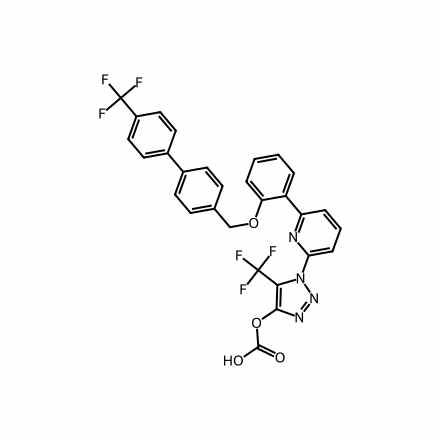 O=C(O)Oc1nnn(-c2cccc(-c3ccccc3OCc3ccc(-c4ccc(C(F)(F)F)cc4)cc3)n2)c1C(F)(F)F